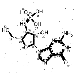 Nc1nc2c(ncn2[C@@H]2O[C@H](CO)[C@@H]([SH]=P(O)(O)O)[C@@H]2O)c(=O)[nH]1